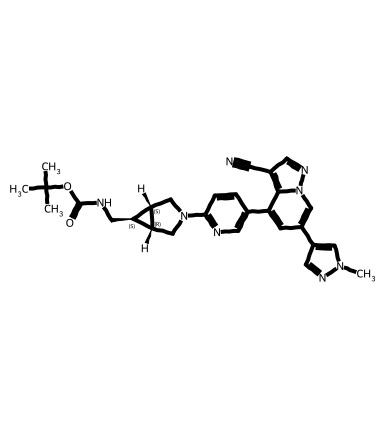 Cn1cc(-c2cc(-c3ccc(N4C[C@@H]5[C@@H](CNC(=O)OC(C)(C)C)[C@@H]5C4)nc3)c3c(C#N)cnn3c2)cn1